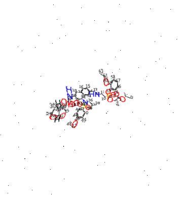 CCOC(=O)[C@H](C)OP(=O)(CCNCc1ccc(C[C@H](NC(=O)OC2CO[C@H]3OCC[C@@H]23)[C@H](O)CN(CC(C)C)S(=O)(=O)c2ccc(OC)cc2)cc1)Oc1ccccc1OCC